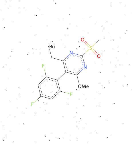 CCC(C)Cc1nc(S(C)(=O)=O)nc(OC)c1-c1c(F)cc(F)cc1F